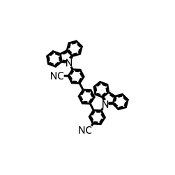 N#Cc1ccc(-n2c3ccccc3c3ccccc32)c(-c2ccc(-c3ccc(-n4c5ccccc5c5ccccc54)c(C#N)c3)cc2)c1